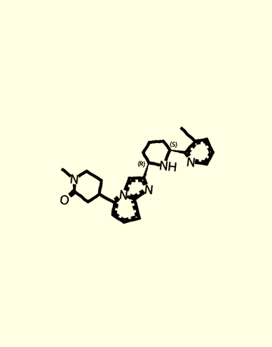 Cc1cccnc1[C@@H]1CCC[C@H](c2cn3c(C4CCN(C)C(=O)C4)cccc3n2)N1